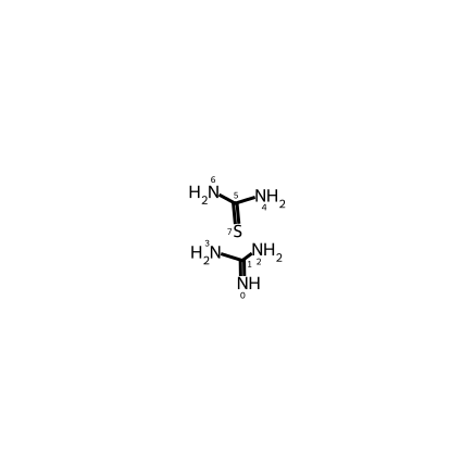 N=C(N)N.NC(N)=S